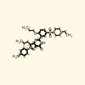 CCCOc1ccc(S(=O)(=O)N2CCN(CC)CC2)cc1-c1nc2c(CCC)n(-c3ccc(N)cc3)nc2c(=O)[nH]1